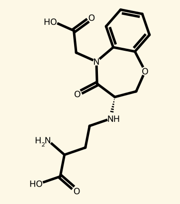 NC(CCN[C@H]1COc2ccccc2N(CC(=O)O)C1=O)C(=O)O